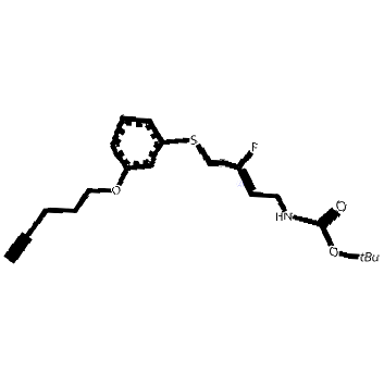 C#CCCCOc1cccc(SC/C(F)=C/CNC(=O)OC(C)(C)C)c1